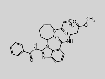 C=CC(=O)N1CCCCC(n2c(NC(=O)c3ccccc3)nc3cccc(C(=O)NCCC(=O)OC)c32)C1